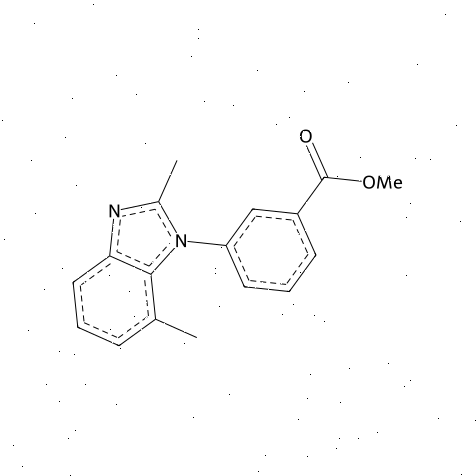 COC(=O)c1cccc(-n2c(C)nc3cccc(C)c32)c1